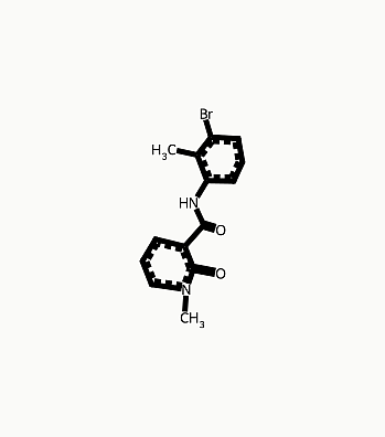 Cc1c(Br)cccc1NC(=O)c1cccn(C)c1=O